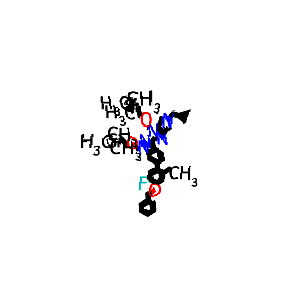 CCc1cc(OCc2ccccc2)c(F)cc1-c1ccc2c(-c3nc4c(n3COCC[Si](C)(C)C)CN(CC3CC3)C4)nn(COCC[Si](C)(C)C)c2c1